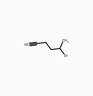 C#CCCC(C)C[CH2]